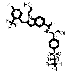 [2H]C([2H])([2H])C([2H])([2H])S(=O)(=O)c1ccc([C@H](CO)NC(=O)c2ccc3c(c2)cc(Cc2ccc(Cl)cc2C(F)(F)F)n3CCO)cc1